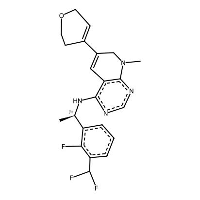 C[C@@H](Nc1ncnc2c1C=C(C1=CCOCC1)CN2C)c1cccc(C(F)F)c1F